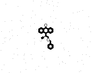 C#C[C@H](COCc1ccccc1)C1c2ccccc2C(=O)c2ccccc21